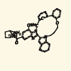 COc1cc(C(=O)N2CC3CCC2[C@@H]3N)cc2nc3n(c12)Cc1cccc(c1)-c1ccccc1OCCCn1c-3cc2ccccc21